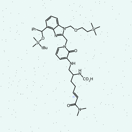 CC(C)C(O[Si](C)(C)C(C)(C)C)c1cccc2c1nc(Cn1cccc(NCC(CC/C=C/C(=O)N(C)C)NC(=O)O)c1=O)n2COCC[Si](C)(C)C